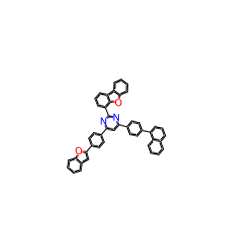 c1ccc2oc(-c3ccc(-c4cc(-c5ccc(-c6cccc7ccccc67)cc5)nc(-c5cccc6c5oc5ccccc56)n4)cc3)cc2c1